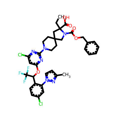 CCC1(C(=O)O)CC2(CCN(c3nc(Cl)cc(OC(c4ccc(Cl)cc4-n4ccc(C)n4)C(F)(F)F)n3)CC2)CN1C(=O)OCc1ccccc1